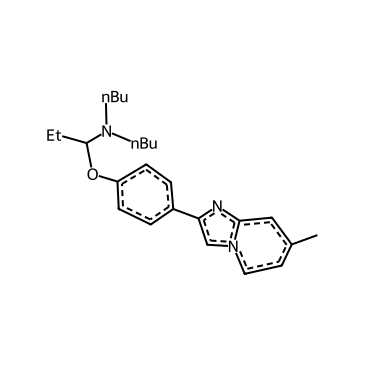 CCCCN(CCCC)C(CC)Oc1ccc(-c2cn3ccc(C)cc3n2)cc1